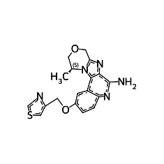 C[C@H]1COCc2nc3c(N)nc4ccc(OCc5cscn5)cc4c3n21